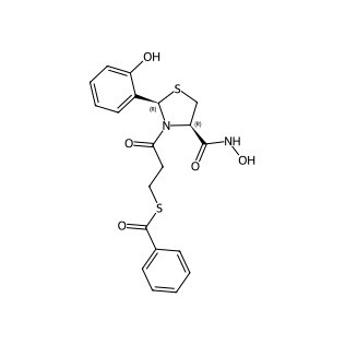 O=C(SCCC(=O)N1[C@@H](c2ccccc2O)SC[C@H]1C(=O)NO)c1ccccc1